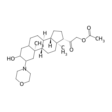 CC(=O)OCC(=O)[C@H]1CC[C@H]2[C@@H]3CCC4CC(O)C(N5CCOCC5)C[C@]4(C)[C@H]3CC[C@]12C